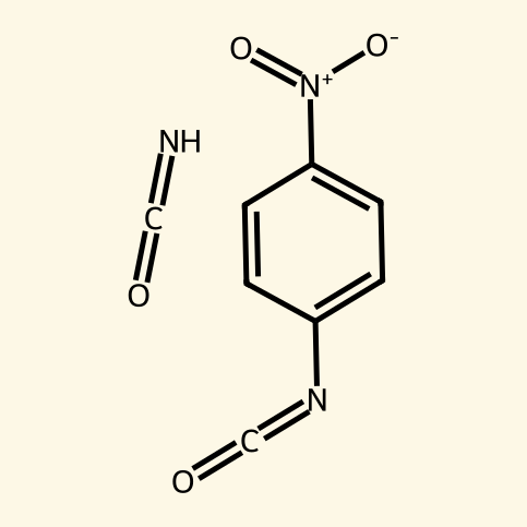 N=C=O.O=C=Nc1ccc([N+](=O)[O-])cc1